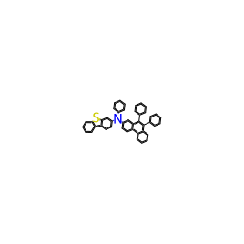 c1ccc(-c2c(-c3ccccc3)c3cc(N(c4ccccc4)c4ccc5c(c4)sc4ccccc45)ccc3c3ccccc23)cc1